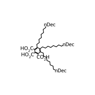 CCCCCCCCCCCCCCCCCCc1c(CCCCCCCCCCCCCCCCCC)c(C(=O)O)c(C(=O)O)c(C(=O)O)c1CCCCCCCCCCCCCCCCCC